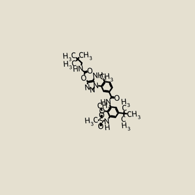 COc1c(NC(=O)c2ccc(C)c(-n3nnc(OC(=O)NCC(C)(C)C)c3N)c2)cc(C(C)(C)C)cc1NS(C)(=O)=O